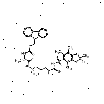 Cc1c(C)c(S(=O)(=O)NC(=N)NCCC[C@H](NC(=O)[C@H](C)NC(=O)OCC2c3ccccc3-c3ccccc32)C(=O)O)c(C)c2c1OC(C)(C)C2